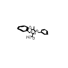 Cc1c(OCc2ccccc2)nc(C(=O)O)n(Cc2ccccc2)c1=O